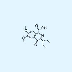 CCC(CC)n1nc(C(=O)O)c2cc(OC)c(OC)cc2c1=O